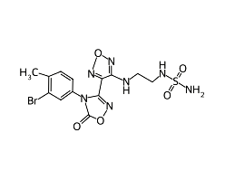 Cc1ccc(-n2c(-c3nonc3NCCNS(N)(=O)=O)noc2=O)cc1Br